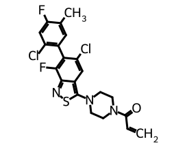 C=CC(=O)N1CCN(c2snc3c(F)c(-c4cc(C)c(F)cc4Cl)c(Cl)cc23)CC1